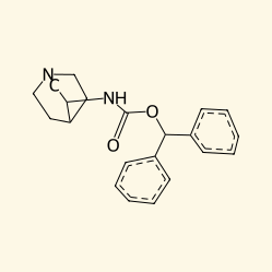 O=C(NC1CN2CCC1CC2)OC(c1ccccc1)c1ccccc1